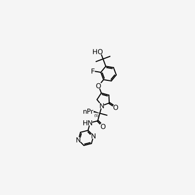 CCC[C@@](C)(C(=O)Nc1cnccn1)N1CC(Oc2cccc(C(C)(C)O)c2F)=CC1=O